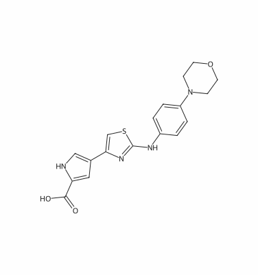 O=C(O)c1cc(-c2csc(Nc3ccc(N4CCOCC4)cc3)n2)c[nH]1